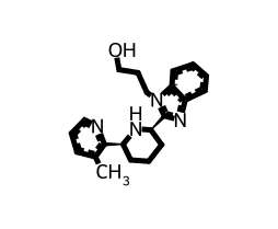 Cc1cccnc1[C@@H]1CCC[C@H](c2nc3ccccc3n2CCCO)N1